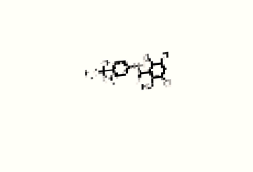 CC(C)(C)c1ccc(NC(=O)c2c(O)c(Cl)cc(Cl)c2Cl)cc1